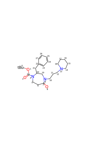 CC(C)(C)OC(=O)N1CCC(=O)N(CCCN2CCCCC2)CC1Cc1ccccc1